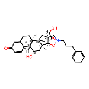 C[C@]12C[C@H](O)[C@H]3[C@@H](CCC4=CC(=O)C=C[C@@]43C)[C@]1(C)C[C@H]1CN(CCCC3=CCCC=C3)O[C@]12C(=O)CO